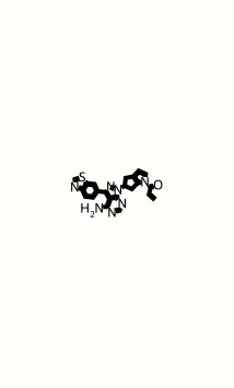 C=CC(=O)n1ccc2c1CC(n1nc(-c3ccc4ncsc4c3)c3c(N)ncnc31)C2